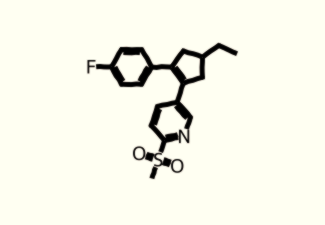 CCC1CC(c2ccc(F)cc2)=C(c2ccc(S(C)(=O)=O)nc2)C1